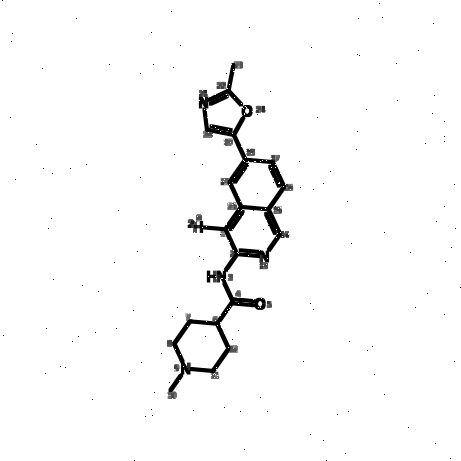 [2H]c1c(NC(=O)C2CCN(C)CC2)ncc2ccc(-c3cnc(C)o3)cc12